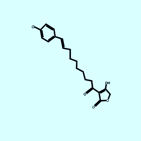 O=C(CCCCCCCC=Cc1ccc(Cl)cc1)C1=C(O)COC1=O